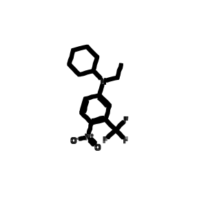 CCN(c1ccc([N+](=O)[O-])c(C(F)(F)F)c1)C1CCCCC1